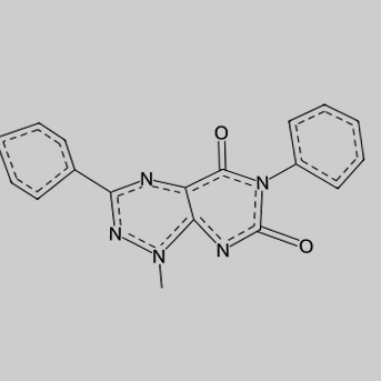 Cn1nc(-c2ccccc2)nc2c(=O)n(-c3ccccc3)c(=O)nc1-2